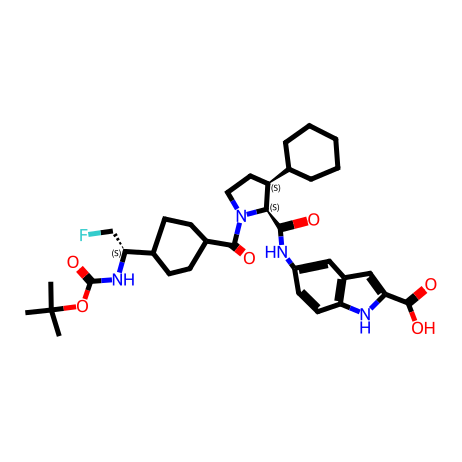 CC(C)(C)OC(=O)N[C@H](CF)C1CCC(C(=O)N2CC[C@@H](C3CCCCC3)[C@H]2C(=O)Nc2ccc3[nH]c(C(=O)O)cc3c2)CC1